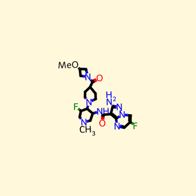 COC1CN(C(=O)C2CCN(C3C(F)CN(C)CC3NC(=O)c3c(N)nn4cc(F)cnc34)CC2)C1